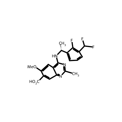 COc1cc2c(N[C@H](C)c3cccc(C(F)F)c3F)nc(C)nc2cc1C(=O)O